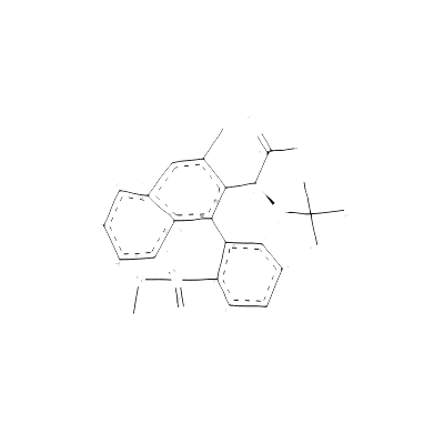 CNS(=O)(=O)c1ccccc1-c1c([C@H](OC(C)(C)C)C(=O)O)c(C)cc2ccccc12